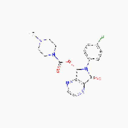 CN1CCN(C(=O)O[C@H]2c3nccnc3C(=O)N2c2ccc(Cl)cc2)CC1